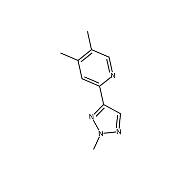 Cc1cnc(-c2cnn(C)n2)cc1C